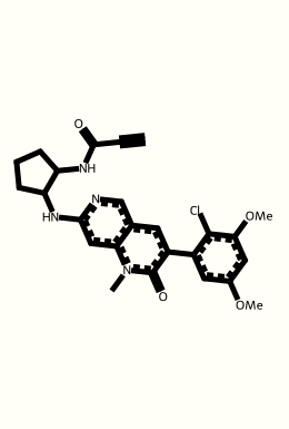 C#CC(=O)NC1CCCC1Nc1cc2c(cn1)cc(-c1cc(OC)cc(OC)c1Cl)c(=O)n2C